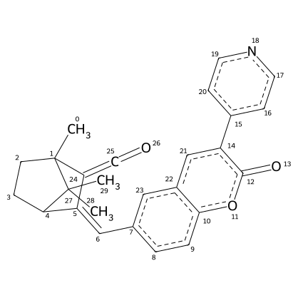 CC12CCC(C(=Cc3ccc4oc(=O)c(-c5ccncc5)cc4c3)C1=C=O)C2(C)C